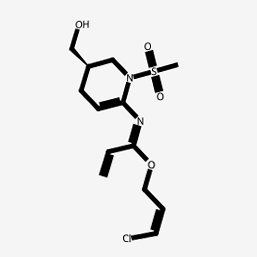 C=C/C(=N\C1=CC[C@@H](CO)CN1S(C)(=O)=O)OC/C=C\Cl